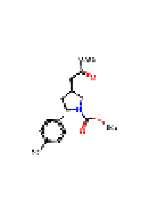 COC(=O)C[C@@H]1C[C@@H](c2ccc(C#N)cc2)N(C(=O)OC(C)(C)C)C1